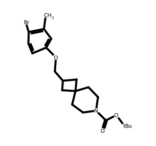 Cc1cc(OCC2CC3(CCN(C(=O)OC(C)(C)C)CC3)C2)ccc1Br